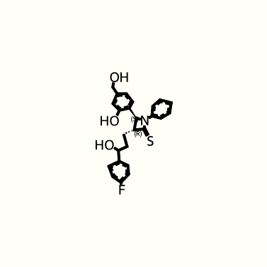 OCc1ccc([C@@H]2[C@@H](CCC(O)c3ccc(F)cc3)C(=S)N2c2ccccc2)c(O)c1